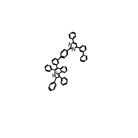 c1ccc(-c2cccc(-c3cc(-c4ccccc4)nc(-c4ccc(-c5cccc(-c6c(-c7ccccc7)n7nc(-c8ccccc8)c(-c8ccccc8)c7c7ccccc67)c5)cc4)n3)c2)cc1